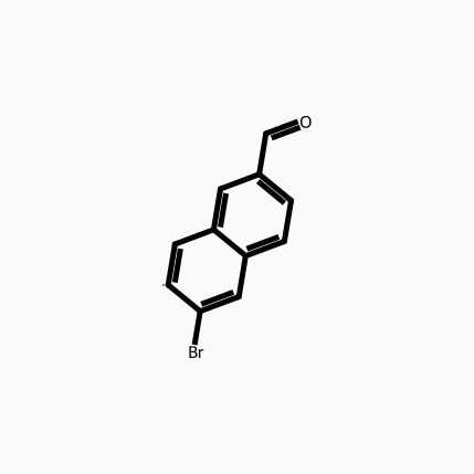 O=Cc1ccc2cc(Br)[c]cc2c1